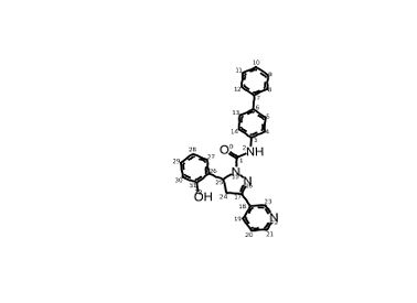 O=C(Nc1ccc(-c2ccccc2)cc1)N1N=C(c2cccnc2)CC1c1ccccc1O